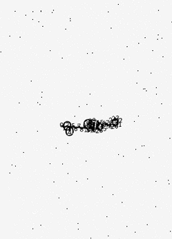 CCOC(=O)CCCCCCN(Cc1ccc(C=Cc2ccccc2)cc1)S(C)(=O)=O